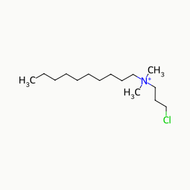 CCCCCCCCCC[N+](C)(C)CCCCl